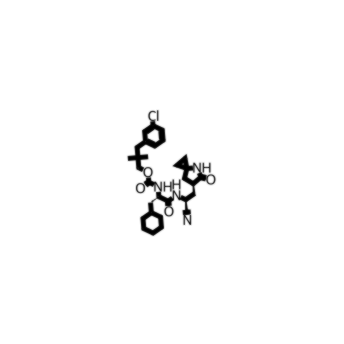 CC(C)(COC(=O)N[C@@H](CC1CCCCC1)C(=O)N[C@H](C#N)C[C@H]1CC2(CC2)NC1=O)Cc1cccc(Cl)c1